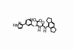 O=C(Nc1c2c(cc3c1CCC3)CCC2)N[C@H](Cc1cccc(-c2cc[nH]n2)c1)C(=O)O